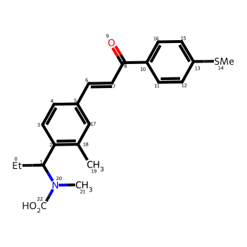 CCC(c1ccc(C=CC(=O)c2ccc(SC)cc2)cc1C)N(C)C(=O)O